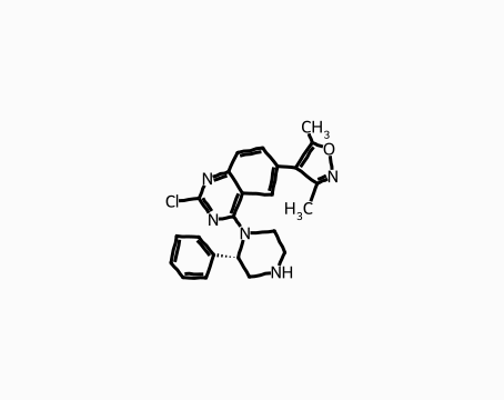 Cc1noc(C)c1-c1ccc2nc(Cl)nc(N3CCNC[C@@H]3c3ccccc3)c2c1